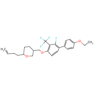 C=CCCC1CCC(COc2ccc(-c3ccc(OCC)cc3)c(F)c2C(F)(F)F)CO1